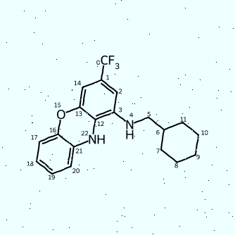 FC(F)(F)c1cc(NCC2CCCCC2)c2c(c1)Oc1ccccc1N2